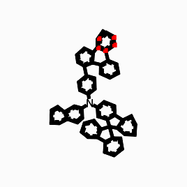 c1ccc(-c2ccccc2-c2c(-c3ccccc3)cccc2-c2ccc(N(c3ccc4c(c3)C3(c5ccccc5-c5ccccc53)c3ccccc3-4)c3ccc4ccccc4c3)cc2)cc1